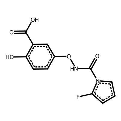 O=C(O)c1cc(ONC(=O)n2cccc2F)ccc1O